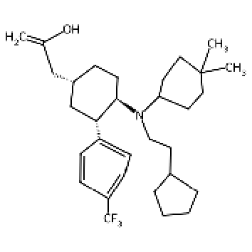 C=C(O)C[C@@H]1CC[C@@H](N(CCC2CCCC2)C2CCC(C)(C)CC2)[C@H](c2ccc(C(F)(F)F)cc2)C1